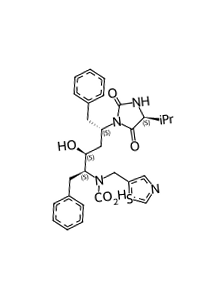 CC(C)[C@@H]1NC(=O)N([C@@H](Cc2ccccc2)C[C@H](O)[C@H](Cc2ccccc2)N(Cc2cncs2)C(=O)O)C1=O